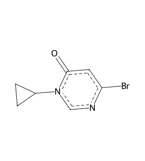 O=c1cc(Br)ncn1C1CC1